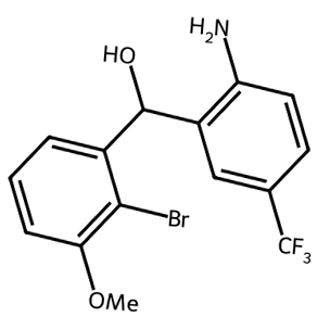 COc1cccc(C(O)c2cc(C(F)(F)F)ccc2N)c1Br